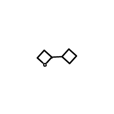 C1CC([C]2CCO2)C1